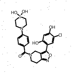 O=C(c1ccc(N2CCS(O)(O)CC2)cc1)N1CCc2noc(-c3cc(Cl)c(O)cc3O)c2C1